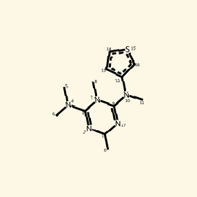 CC1N=C(N(C)C)N(C)C(N(C)c2ccsc2)=N1